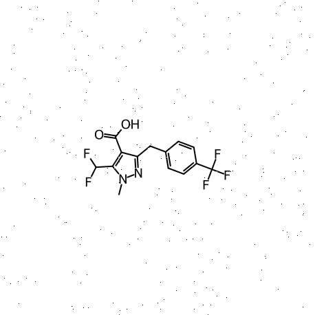 Cn1nc(Cc2ccc(C(F)(F)F)cc2)c(C(=O)O)c1C(F)F